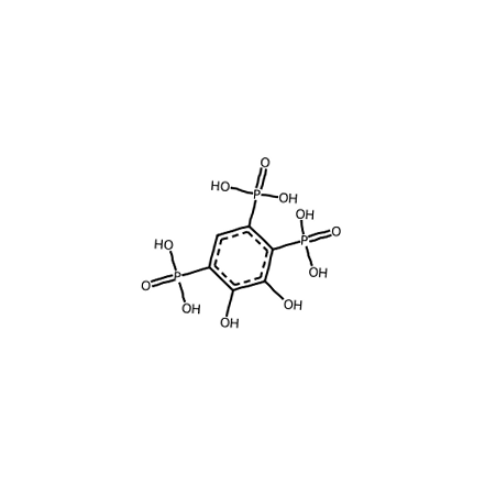 O=P(O)(O)c1cc(P(=O)(O)O)c(P(=O)(O)O)c(O)c1O